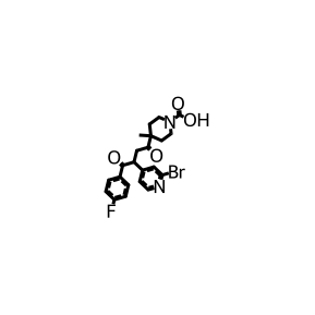 CC1(C(=O)CC(C(=O)c2ccc(F)cc2)c2ccnc(Br)c2)CCN(C(=O)O)CC1